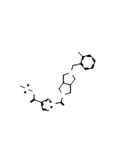 CS(=O)(=O)NC(=O)c1cnn(C(=O)N2CC3CN(Cc4ccccc4Cl)CC3C2)c1